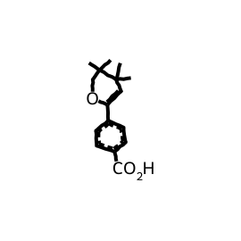 CC1(C)C=C(c2ccc(C(=O)O)cc2)OCC1(C)C